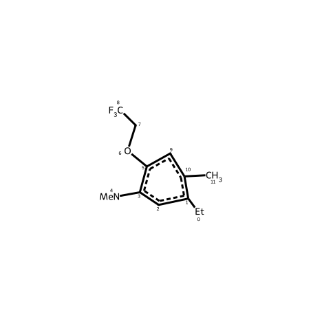 CCc1cc(NC)c(OCC(F)(F)F)cc1C